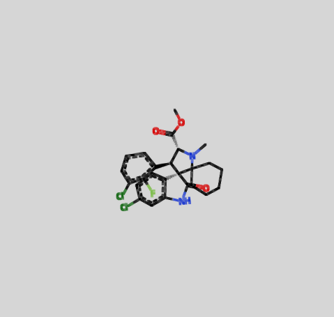 COC(=O)[C@H]1[C@H](c2cccc(Cl)c2F)[C@]2(C(=O)Nc3cc(Cl)ccc32)C2(CCCCC2)N1C